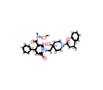 CON(C)C(=O)c1cn(CC2(O)CCN(C(=O)CC(C)c3ccccc3)CC2)c(=O)cc1-c1ccccc1